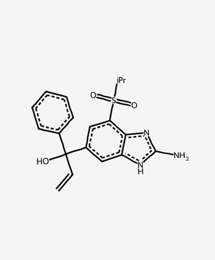 C=CC(O)(c1ccccc1)c1cc(S(=O)(=O)C(C)C)c2nc(N)[nH]c2c1